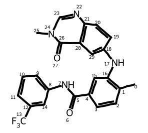 Cc1ccc(C(=O)Nc2cccc(C(F)(F)F)c2)cc1Nc1ccc2ncn(C)c(=O)c2c1